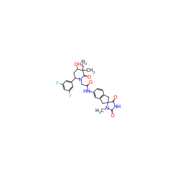 CN1C(=O)NC(=O)C12Cc1ccc(NC(=O)CN3C(=O)C(C)(C)C(O)CC3c3cc(F)cc(F)c3)cc1C2